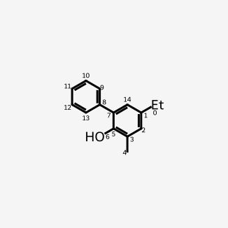 CCc1cc(C)c(O)c(-c2ccccc2)c1